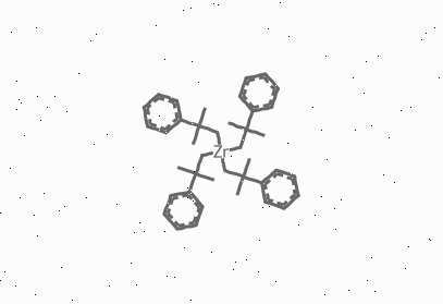 CC(C)([CH2][Zr]([CH2]C(C)(C)c1ccccc1)([CH2]C(C)(C)c1ccccc1)[CH2]C(C)(C)c1ccccc1)c1ccccc1